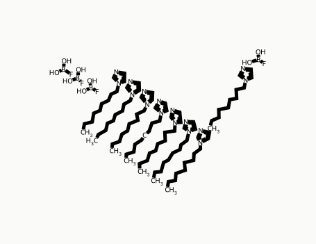 CCCCCCCCCn1ccnc1.CCCCCCCCCn1ccnc1.CCCCCCCCCn1ccnc1.CCCCCCCCCn1ccnc1.CCCCCCCCCn1ccnc1.CCCCCCCCCn1ccnc1.CCCCCCCCCn1ccnc1.CCCCCCCCCn1ccnc1.OB(O)F.OB(O)F.OB(O)F.OB(O)F